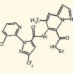 CCNC(=O)c1c(NC(=O)c2cc(C(F)(F)F)nn2-c2ncccc2Cl)c(C)cc2ccnn12